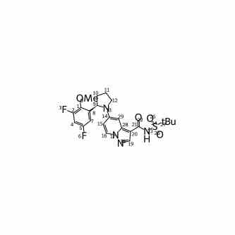 COc1c(F)cc(F)cc1[C@H]1CCCN1c1ccn2ncc(C(=O)NS(=O)(=O)C(C)(C)C)c2c1